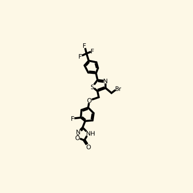 O=c1[nH]c(-c2ccc(OCc3sc(-c4ccc(C(F)(F)F)cc4)nc3CBr)cc2F)no1